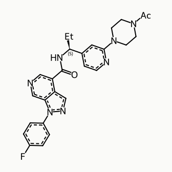 CC[C@H](NC(=O)c1cncc2c1cnn2-c1ccc(F)cc1)c1ccnc(N2CCN(C(C)=O)CC2)c1